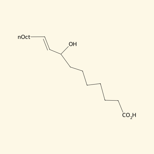 CCCCCCCCC=CC(O)CCCCCCC(=O)O